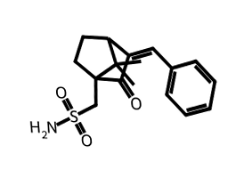 CC1(C)C2CCC1(CS(N)(=O)=O)C(=O)/C2=C\c1ccccc1